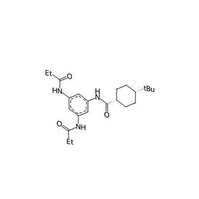 CCC(=O)Nc1cc(NC(=O)CC)cc(NC(=O)[C@H]2CC[C@@H](C(C)(C)C)CC2)c1